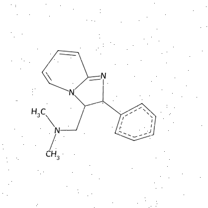 CN(C)CC1[C](c2ccccc2)N=C2C=CC=CN21